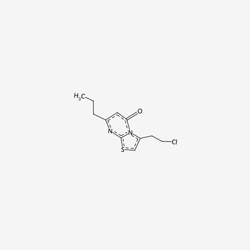 CCCc1cc(=O)n2c(CCCl)csc2n1